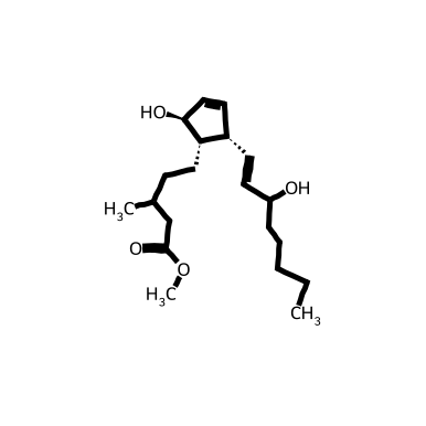 CCCCCC(O)/C=C/[C@H]1C=C[C@H](O)[C@H]1CCC(C)CC(=O)OC